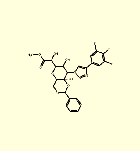 COC(=O)[C@@H](O)[C@@H]1OC2COC(c3ccccc3)O[C@@H]2C(n2cc(-c3cc(F)c(F)c(F)c3)nn2)C1O